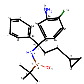 [CH2]C(C)(C)[S@@+]([O-])N[C@](CCC1CC1)(c1ccccc1)c1ccc(F)c(N)c1